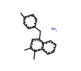 Cc1ccc(Cc2cc(C)c(C)c3ccccc23)cc1.N